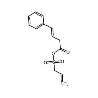 C=CCS(=O)(=O)OC(=O)CC=Cc1ccccc1